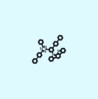 c1ccc(-c2ccc(-c3cc(-c4nc(-c5ccccc5)nc(-c5ccc(-c6ccccc6)cc5)n4)cc(-n4c5ccccc5c5ccc6c7ccccc7sc6c54)c3)cc2)cc1